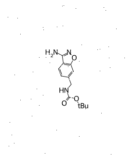 CC(C)(C)OC(=O)NCc1ccc2c(N)noc2c1